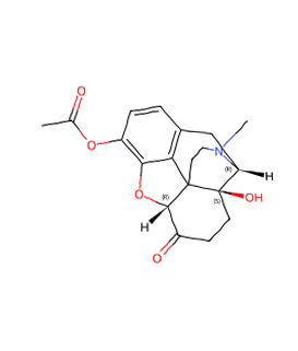 CC(=O)Oc1ccc2c3c1O[C@H]1C(=O)CC[C@@]4(O)[C@@H](C2)N(C)CCC314